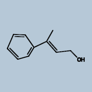 C/C(=C\CO)c1ccccc1